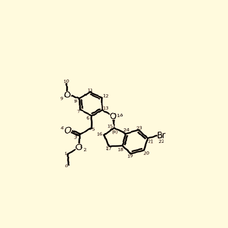 CCOC(=O)Cc1cc(OC)ccc1O[C@@H]1CCc2ccc(Br)cc21